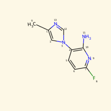 Cc1cn(-c2ccc(F)nc2N)cn1